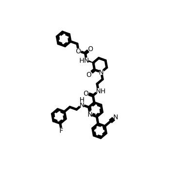 N#Cc1ccccc1-c1ccc(C(=O)NCCN2CCC[C@H](NC(=O)OCc3ccccc3)C2=O)c(NCCc2cccc(F)c2)n1